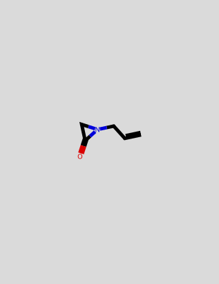 C=CCN1CC1=O